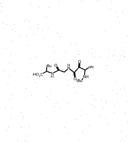 CCCC(NC(C)(C)C)C(=O)C(=O)NCC(=O)NC(C(=O)O)C(C)CC